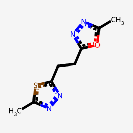 Cc1nnc(CCc2nnc(C)s2)o1